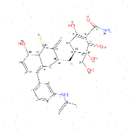 C=C(C)Nc1cccc(C2=C3C[C@@H](C[C@H]4CC(O)=C(C(N)=O)C(=O)[C@@]4(O)CO)C(=C)C(=S)C3C(O)C=C2)c1